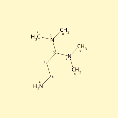 CN(C)C(CCN)N(C)C